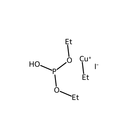 CCOP(O)OCC.C[CH2][Cu+].[I-]